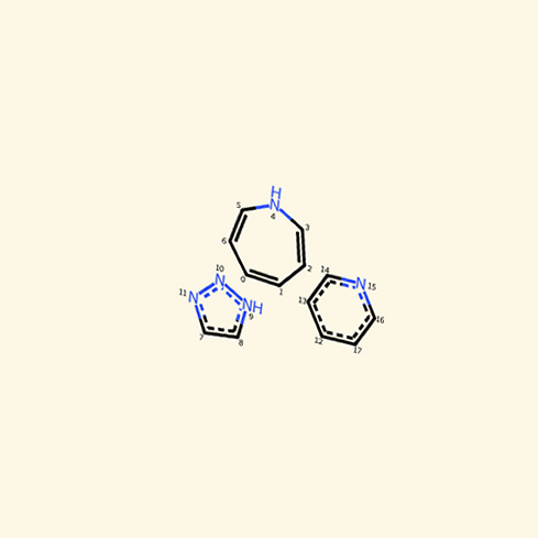 C1=CC=CNC=C1.c1c[nH]nn1.c1ccncc1